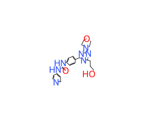 O=C(Nc1ccncc1)Nc1ccc(-c2nc(CCCO)nc(N3CCOCC3)n2)cc1